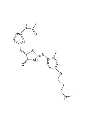 CC(=O)Nc1ncc(C=C2SC(=Nc3ccc(OCCCN(C)C)cc3C)NC2=O)s1